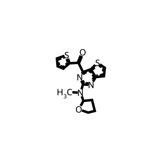 CN(c1nc(C(=O)c2cccs2)c2sccc2n1)C1CCCO1